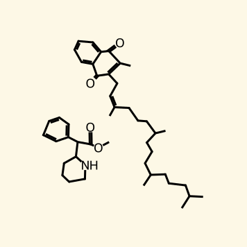 CC(=CCC1=C(C)C(=O)c2ccccc2C1=O)CCCC(C)CCCC(C)CCCC(C)C.COC(=O)C(c1ccccc1)C1CCCCN1